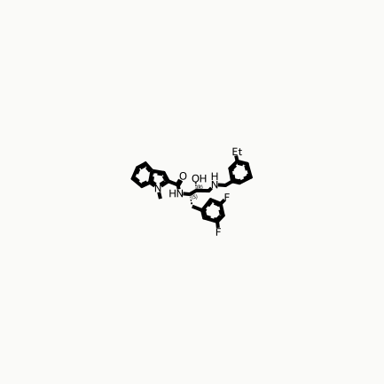 CCc1cccc(CNC[C@@H](O)[C@H](Cc2cc(F)cc(F)c2)NC(=O)c2cc3ccccc3n2C)c1